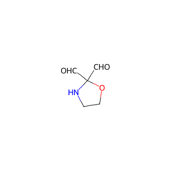 O=CC1(C=O)NCCO1